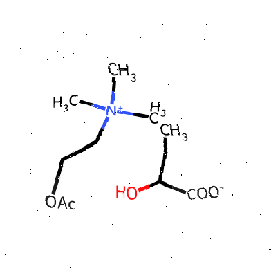 CC(=O)OCC[N+](C)(C)C.CC(O)C(=O)[O-]